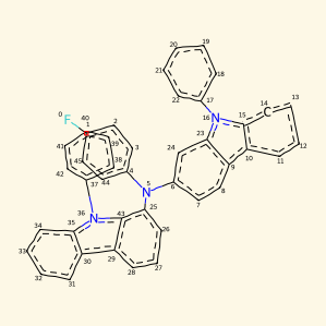 Fc1ccc(N(c2ccc3c4ccccc4n(-c4ccccc4)c3c2)c2cccc3c4ccccc4n(-c4ccccc4)c23)cc1